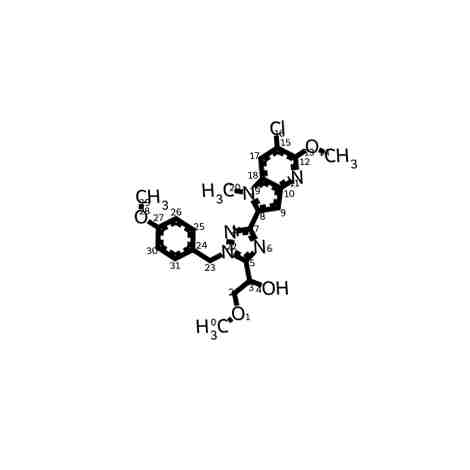 COCC(O)c1nc(-c2cc3nc(OC)c(Cl)cc3n2C)nn1Cc1ccc(OC)cc1